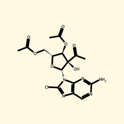 CC(=O)OC[C@H]1O[C@@H](n2c(Cl)nc3cnc(N)nc32)[C@@](O)(C(C)=O)[C@@H]1OC(C)=O